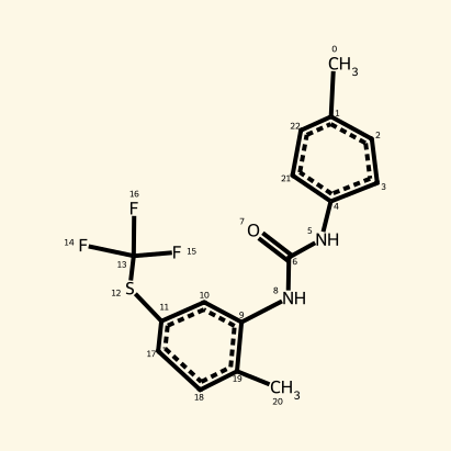 Cc1ccc(NC(=O)Nc2cc(SC(F)(F)F)ccc2C)cc1